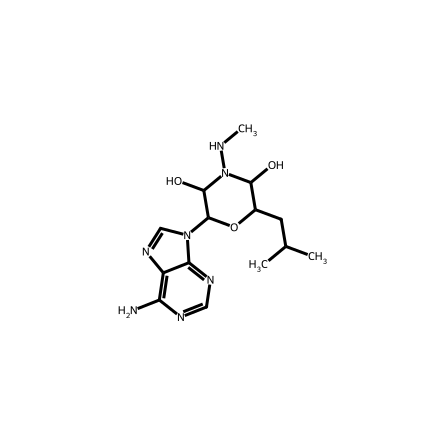 CNN1C(O)C(CC(C)C)OC(n2cnc3c(N)ncnc32)C1O